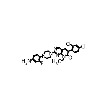 CCn1c(=O)c(-c2ccc(Cl)cc2Cl)cc2cnc(N3CCN(c4ccc(N)cc4F)CC3)nc21